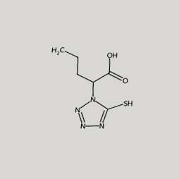 CCCC(C(=O)O)n1nnnc1S